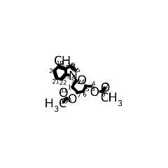 CC(=O)OCC1CC(OC(C)=O)CC(n2ccc3c(C)cccc32)O1